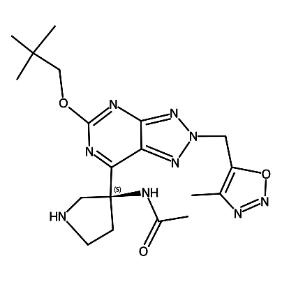 CC(=O)N[C@@]1(c2nc(OCC(C)(C)C)nc3nn(Cc4onnc4C)nc23)CCNC1